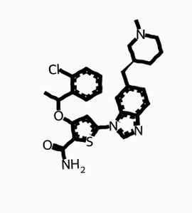 CC(Oc1cc(-n2cnc3ccc(C[C@@H]4CCCN(C)C4)cc32)sc1C(N)=O)c1ccccc1Cl